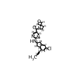 CC#Cc1cc(Cl)cc2c1CC(Nc1ncc(C(=O)N3CCC34COC4)cn1)C2